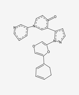 O=c1ccn(-c2cccnc2)cc1-c1ccnn1C1=COC=C(C2=CC=CCC2)O1